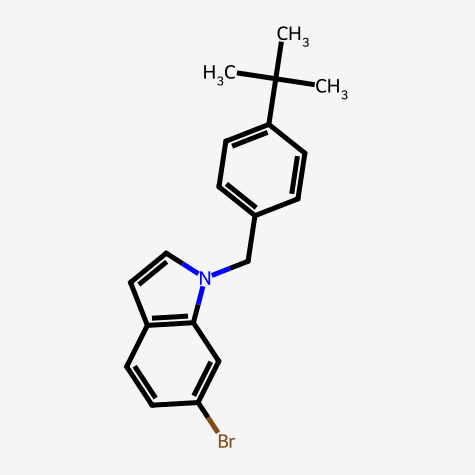 CC(C)(C)c1ccc(Cn2ccc3ccc(Br)cc32)cc1